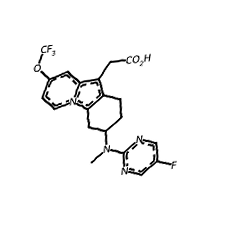 CN(c1ncc(F)cn1)C1CCc2c(CC(=O)O)c3cc(OC(F)(F)F)ccn3c2C1